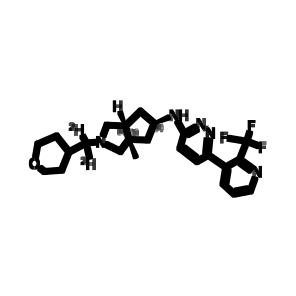 [2H]C([2H])(C1CCOCC1)N1C[C@@H]2C[C@@H](Nc3ccc(-c4cccnc4C(F)(F)F)nn3)C[C@]2(C)C1